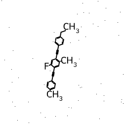 CCCc1ccc(C#Cc2cc(F)c(C#Cc3ccc(C)cc3)cc2C)cc1